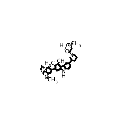 COc1cc(-c2cc3[nH]c4ccc(C5CCCN(C(=O)CN(C)C)C5)cc4c3c(C)c2C)cn2ncnc12